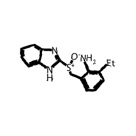 CCc1cccc(C[S+]([O-])c2nc3ccccc3[nH]2)c1N